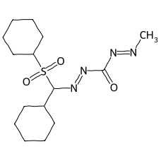 CN=NC(=O)N=NC(C1CCCCC1)S(=O)(=O)C1CCCCC1